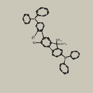 CCc1cc(N(c2ccccc2)c2ccccc2)ccc1-c1cc2c(cc1CC)-c1ccc(N(c3ccccc3)c3ccccc3)cc1C2(C)C